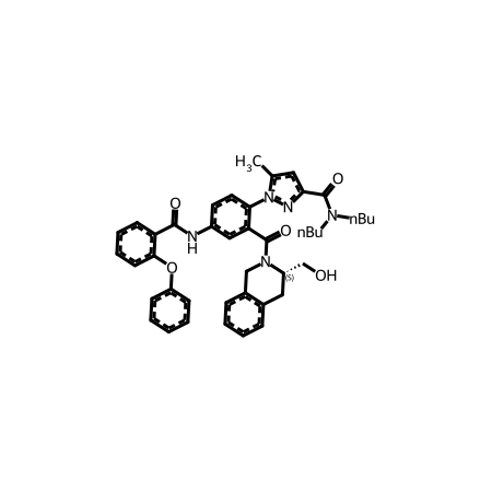 CCCCN(CCCC)C(=O)c1cc(C)n(-c2ccc(NC(=O)c3ccccc3Oc3ccccc3)cc2C(=O)N2Cc3ccccc3C[C@H]2CO)n1